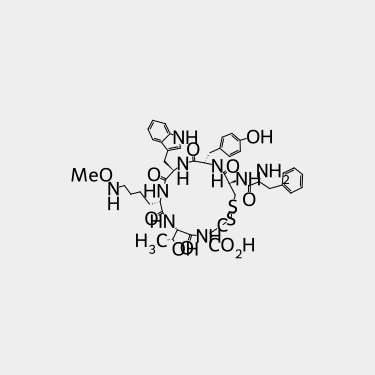 CONCCCC[C@@H]1NC(=O)[C@@H](Cc2c[nH]c3ccccc23)NC(=O)[C@H](Cc2ccc(O)cc2)NC(=O)[C@@H](NC(=O)[C@H](N)Cc2ccccc2)CSSC[C@@H](C(=O)O)NC(=O)[C@H]([C@@H](C)O)NC1=O